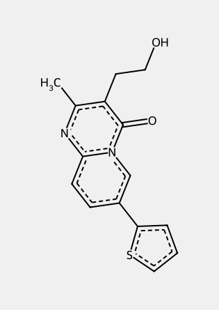 Cc1nc2ccc(-c3cccs3)cn2c(=O)c1CCO